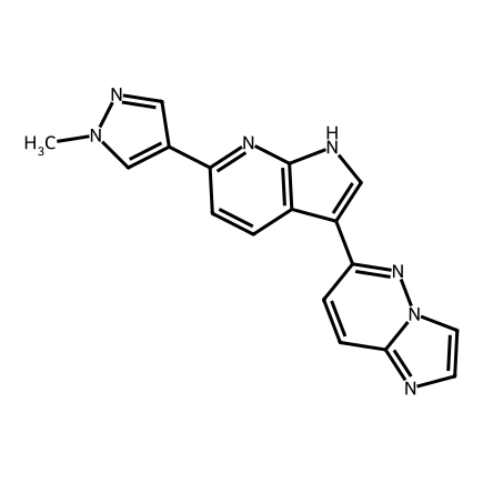 Cn1cc(-c2ccc3c(-c4ccc5nccn5n4)c[nH]c3n2)cn1